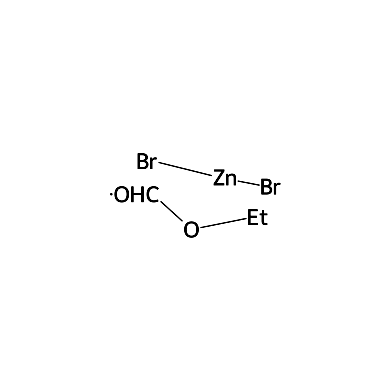 CCO[C]=O.[Br][Zn][Br]